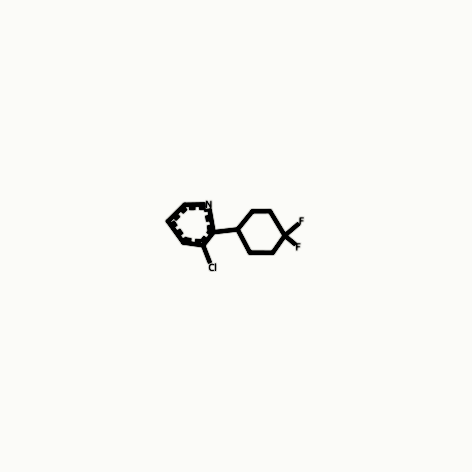 FC1(F)CCC(c2ncccc2Cl)CC1